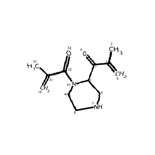 C=C(C)C(=O)C1CNCCN1C(=O)C(=C)C